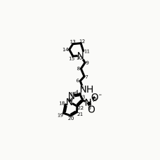 O=[N+]([O-])c1c(NCCCCN2CCCCC2)nn2ccccc12